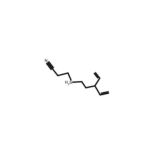 C=CC(C=C)CC[SiH2]CCC#N